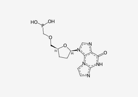 O=c1[nH]c2nccn2c2c1ncn2[C@H]1CC[C@@H](COCP(O)O)O1